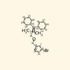 CC(C)(COCc1cc(Br)cs1)[SiH](c1ccccc1)c1ccccc1